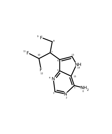 Nc1ncnc2c(C(CF)C(F)F)c[nH]c12